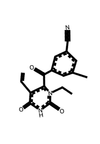 C=Cc1c(C(=O)c2cc(C)cc(C#N)c2)n(CC)c(=O)[nH]c1=O